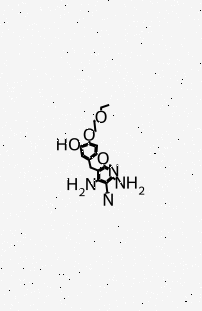 CCOCCOc1cc2c(cc1O)Cc1c(nc(N)c(C#N)c1N)O2